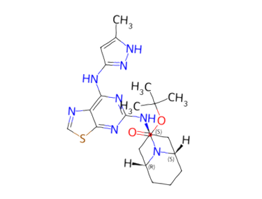 Cc1cc(Nc2nc(N[C@@H]3C[C@H]4CCC[C@@H](C3)N4C(=O)OC(C)(C)C)nc3scnc23)n[nH]1